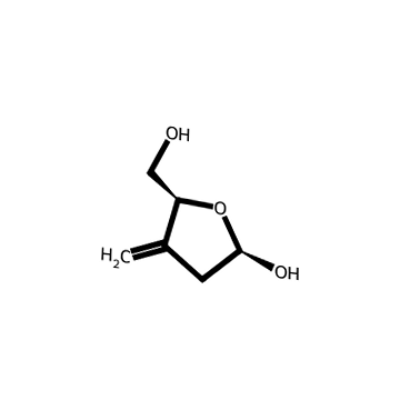 C=C1C[C@H](O)O[C@@H]1CO